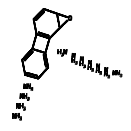 C1=CC2OC2C2=C1c1ccccc12.N.N.N.N.N.N.N.N.N.N.N